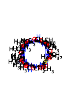 C/C=C/C[C@@H](C)[C@@H](O)[C@H]1C(=O)N[C@@H](CC)C(=O)N(C)CC(=O)N[C@H](C(=O)OC)CSCC(=O)N(C)[C@@H](CC(C)C)C(=O)N[C@@H](C(C)C)C(=O)N(C)[C@@H](CC(C)C)C(=O)N[C@@H](C)C(=O)N[C@H](C)C(=O)N(C)[C@@H](CC(C)C)C(=O)N(C)[C@@H](CC(C)C)C(=O)N(C)[C@@H](C(C)C)C(=O)N1C